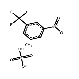 C.O=S(=O)(O)O.O=[N+]([O-])c1cccc(C(F)(F)F)c1